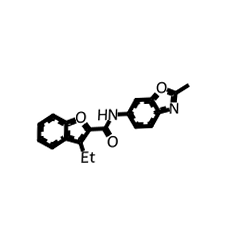 CCc1c(C(=O)Nc2ccc3nc(C)oc3c2)oc2ccccc12